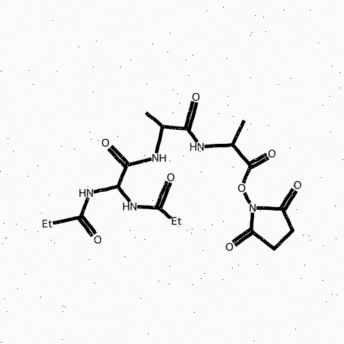 CCC(=O)NC(NC(=O)CC)C(=O)NC(C)C(=O)NC(C)C(=O)ON1C(=O)CCC1=O